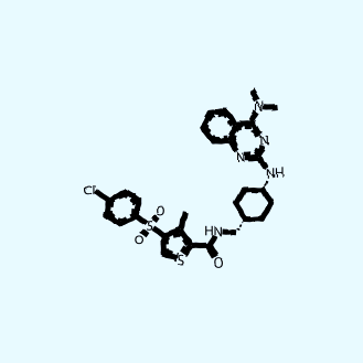 Cc1c(S(=O)(=O)c2ccc(Cl)cc2)csc1C(=O)NC[C@H]1CC[C@@H](Nc2nc(N(C)C)c3ccccc3n2)CC1